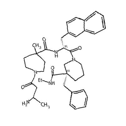 CCNC(=O)[C@]1(Cc2ccccc2)CCCN(C(=O)[C@@H](Cc2ccc3ccccc3c2)NC(=O)C2(C)CCN(C(=O)CC(C)N)CC2)C1